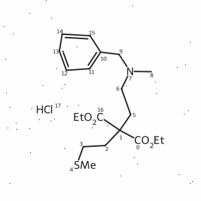 CCOC(=O)C(CCSC)(CCN(C)Cc1ccccc1)C(=O)OCC.Cl